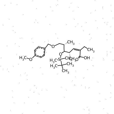 CCC(=C[C@H](C)[C@@H](O[Si](C)(C)C(C)(C)C)[C@@H](C)COCc1ccc(OC)cc1)C(=O)O